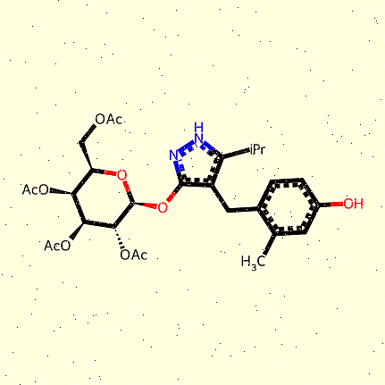 CC(=O)OC[C@H]1O[C@@H](Oc2n[nH]c(C(C)C)c2Cc2ccc(O)cc2C)[C@H](OC(C)=O)[C@@H](OC(C)=O)[C@H]1OC(C)=O